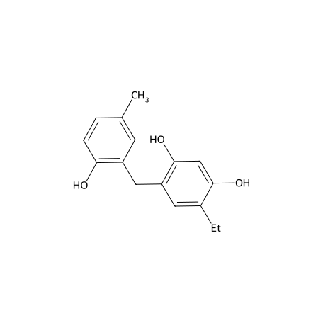 CCc1cc(Cc2cc(C)ccc2O)c(O)cc1O